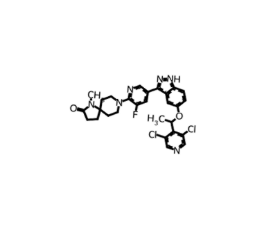 CC(Oc1ccc2[nH]nc(-c3cnc(N4CCC5(CCC(=O)N5C)CC4)c(F)c3)c2c1)c1c(Cl)cncc1Cl